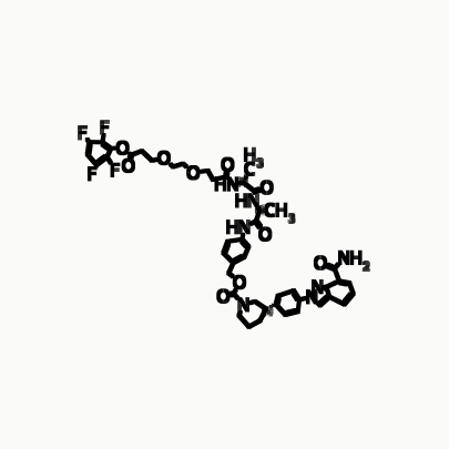 C[C@H](NC(=O)CCOCCOCCC(=O)Oc1c(F)c(F)cc(F)c1F)C(=O)N[C@@H](C)C(=O)Nc1ccc(COC(=O)N2CCC[C@@H](c3ccc(-n4cc5cccc(C(N)=O)c5n4)cc3)C2)cc1